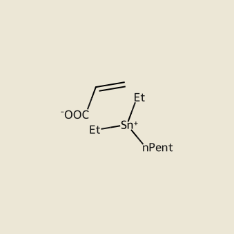 C=CC(=O)[O-].CCCC[CH2][Sn+]([CH2]C)[CH2]C